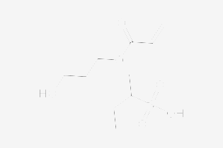 C=CC(=O)OCCCO.CCC(C)S(=O)(=O)O